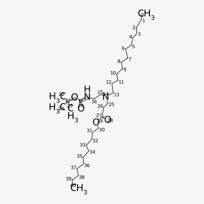 CCCCCCCCCCCCCCN(CCNC(=O)OC(C)(C)C)CCC(=O)OCCCCCCCCCCC